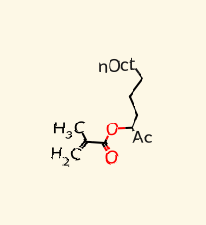 C=C(C)C(=O)OC(CCCCCCCCCCC)C(C)=O